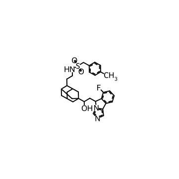 Cc1ccc(CS(=O)(=O)NCCC2C3CC4CC2CC(C(O)CC2c5c(F)cccc5-c5cncn52)(C4)C3)cc1